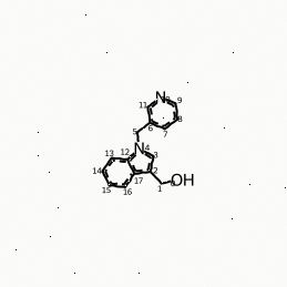 OCc1cn(Cc2cccnc2)c2ccccc12